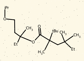 CCC(C)(C)CC(C)(C(=O)OC(C)(CC)CCOC(C)C)C(C)(C)C